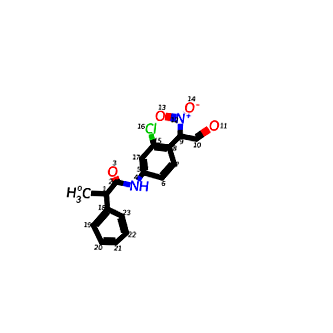 CC(C(=O)Nc1ccc(C(C=O)[N+](=O)[O-])c(Cl)c1)c1ccccc1